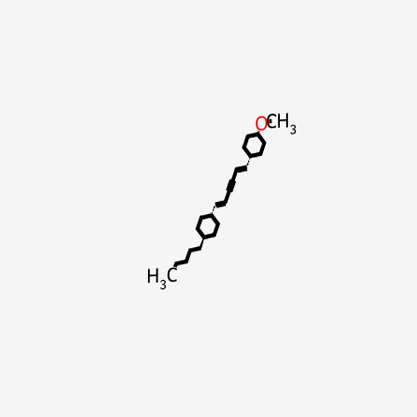 CCCCC[C@H]1CC[C@H](/C=C/C#C/C=C/[C@H]2CC[C@H](OC)CC2)CC1